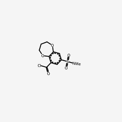 CNS(=O)(=O)c1cc2c(c(C(=O)Cl)c1)OCCCO2